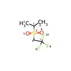 C[C](C)S(=O)(=O)CC(F)(F)F